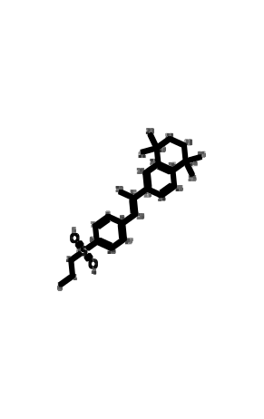 CCCS(=O)(=O)c1ccc(C=C(C)c2ccc3c(c2)C(C)(C)CCC3(C)C)cc1